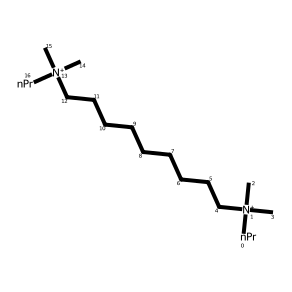 CCC[N+](C)(C)CCCCCCCCC[N+](C)(C)CCC